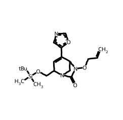 C=CCON1C(=O)N2CC1C(c1cnco1)=CC2CO[Si](C)(C)C(C)(C)C